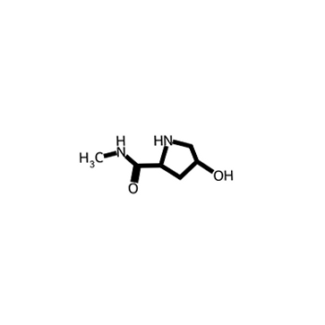 CNC(=O)C1CC(O)CN1